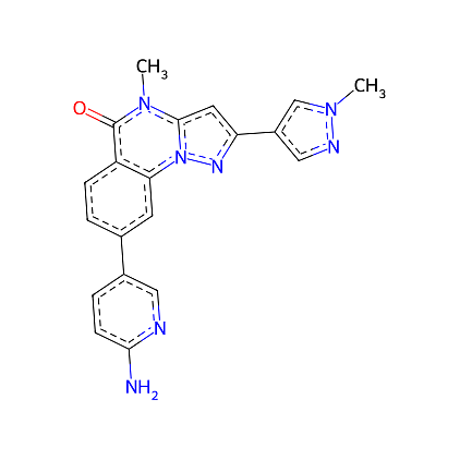 Cn1cc(-c2cc3n(C)c(=O)c4ccc(-c5ccc(N)nc5)cc4n3n2)cn1